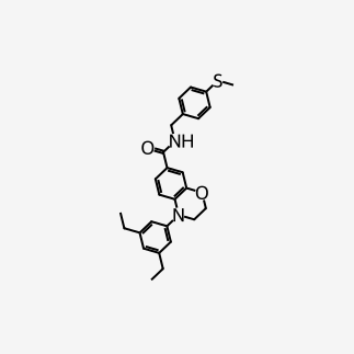 CCc1cc(CC)cc(N2CCOc3cc(C(=O)NCc4ccc(SC)cc4)ccc32)c1